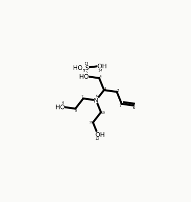 C=CCC(CO)N(CCO)CCO.O=S(=O)(O)O